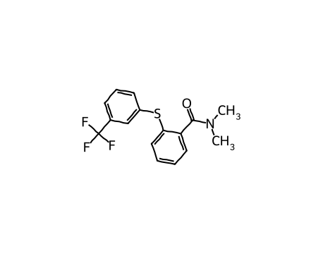 CN(C)C(=O)c1ccccc1Sc1cccc(C(F)(F)F)c1